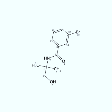 CC(C)(CO)NC(=O)c1cccc(Br)c1